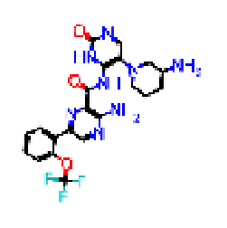 Nc1ncc(-c2ccccc2OC(F)(F)F)nc1C(=O)Nc1[nH]c(=O)ncc1N1CCCC(N)C1